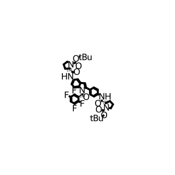 CC(C)(C)OC(=O)N1CCC[C@H]1C(=O)Nc1ccc2c(c1)O[C@@H](c1c(F)c(F)cc(F)c1F)n1c-2cc2cc(NC(=O)[C@@H]3CCCN3C(=O)OC(C)(C)C)ccc21